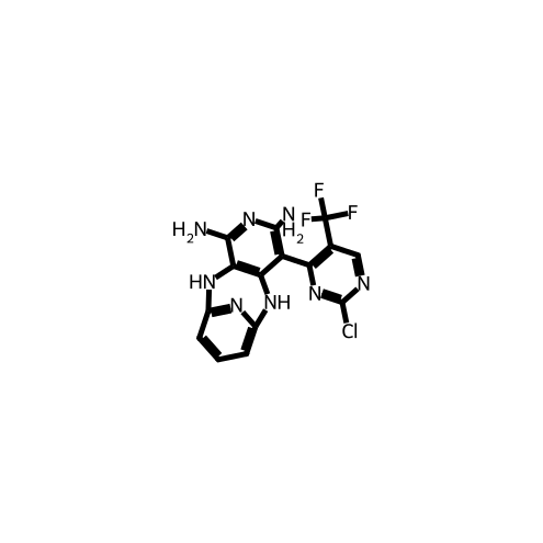 Nc1nc(N)c(-c2nc(Cl)ncc2C(F)(F)F)c2c1Nc1cccc(n1)N2